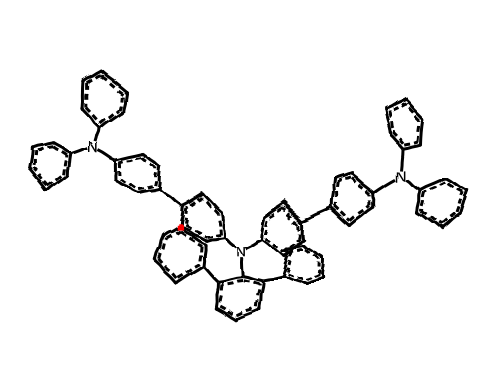 c1ccc(-c2cccc(-c3ccccc3)c2N(c2ccc(-c3ccc(N(c4ccccc4)c4ccccc4)cc3)cc2)c2ccc(-c3ccc(N(c4ccccc4)c4ccccc4)cc3)cc2)cc1